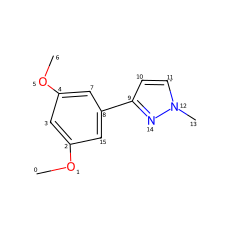 COc1cc(OC)cc(-c2c[c]n(C)n2)c1